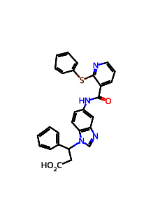 O=C(O)CC(c1ccccc1)n1cnc2cc(NC(=O)c3cccnc3Sc3ccccc3)ccc21